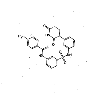 Cc1ccc(C(=O)Nc2cccc(S(=O)(=O)Nc3cccc(C4CCC(=O)NC4=O)c3)c2)cc1